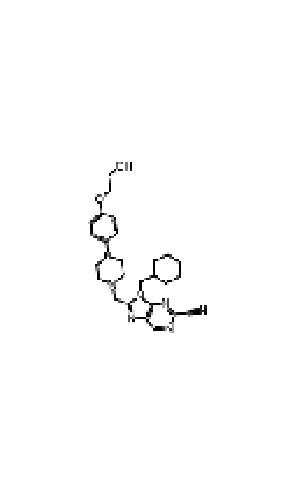 N#Cc1ncc2nc(CN3CCN(c4ccc(OCCO)cc4)CC3)n(CC3CCCCC3)c2n1